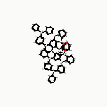 c1ccc(N(c2ccccc2)c2cccc(N3c4cccc5c4B(c4c3cc3c6c4Oc4ccccc4B6c4ccccc4O3)c3c(cc4c6c3Oc3ccccc3B6c3ccccc3O4)N5c3cccc(N(c4ccccc4)c4ccccc4)c3)c2)cc1